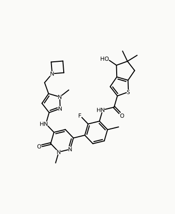 Cc1ccc(-c2cc(Nc3cc(CN4CCC4)n(C)n3)c(=O)n(C)n2)c(F)c1NC(=O)c1cc2c(s1)CC(C)(C)C2O